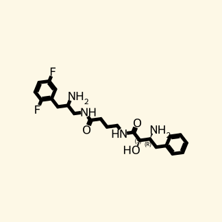 NC(CNC(=O)CCCNC(=O)[C@@H](O)[C@H](N)Cc1ccccc1)Cc1cc(F)ccc1F